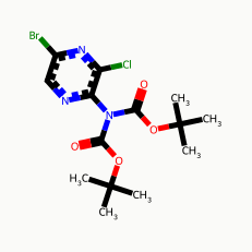 CC(C)(C)OC(=O)N(C(=O)OC(C)(C)C)c1ncc(Br)nc1Cl